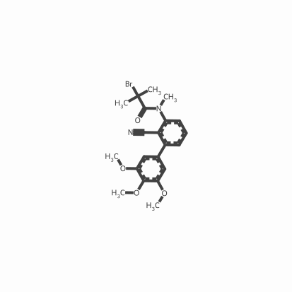 COc1cc(-c2cccc(N(C)C(=O)C(C)(C)Br)c2C#N)cc(OC)c1OC